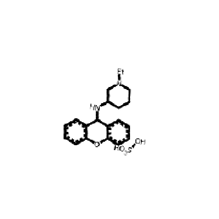 CCN1CCCC(NC2c3ccccc3Oc3ccccc32)C1.O=S(=O)(O)O